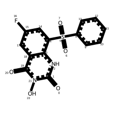 O=c1[nH]c2c(S(=O)(=O)c3ccccc3)cc(F)cc2c(=O)n1O